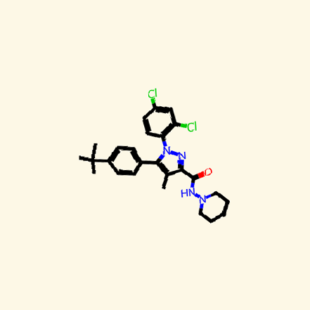 Cc1c(C(=O)NN2CCCCC2)nn(-c2ccc(Cl)cc2Cl)c1-c1ccc(C(C)(C)C)cc1